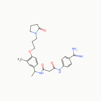 CC(NC(=O)CC(=O)Nc1ccc(C(=N)N)cc1)c1ccc(OCCCN2CCCC2=O)c(C(F)(F)F)c1